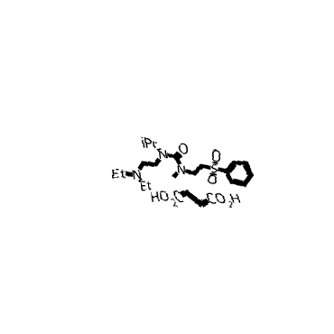 CCN(CC)CCN(C(=O)N(C)CCS(=O)(=O)c1ccccc1)C(C)C.O=C(O)C=CC(=O)O